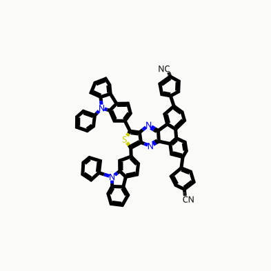 N#Cc1ccc(-c2ccc3c4ccc(-c5ccc(C#N)cc5)cc4c4nc5c(-c6ccc7c8ccccc8n(-c8ccccc8)c7c6)sc(-c6ccc7c8ccccc8n(-c8ccccc8)c7c6)c5nc4c3c2)cc1